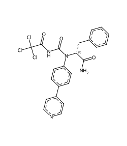 NC(=O)[C@@H](Cc1ccccc1)N(C(=O)NC(=O)C(Cl)(Cl)Cl)c1ccc(-c2ccncc2)cc1